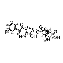 CN(C(=O)C1O[C@H](COP(=O)(O)CP(=O)(O)CP(=O)(O)O)[C@@H](O)[C@H]1O)c1cccc(F)c1